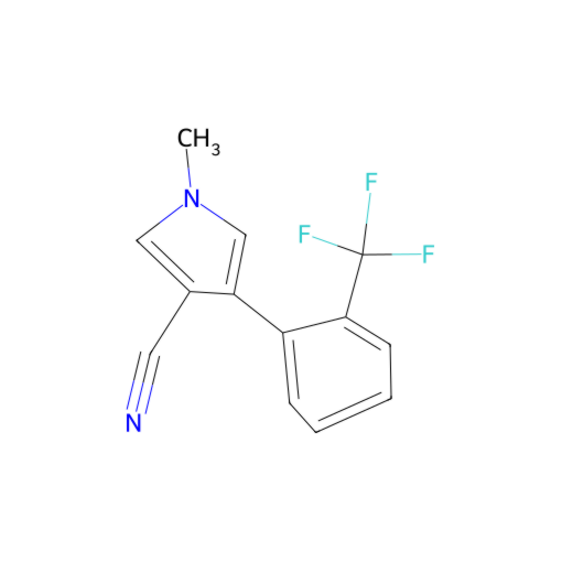 Cn1cc(C#N)c(-c2ccccc2C(F)(F)F)c1